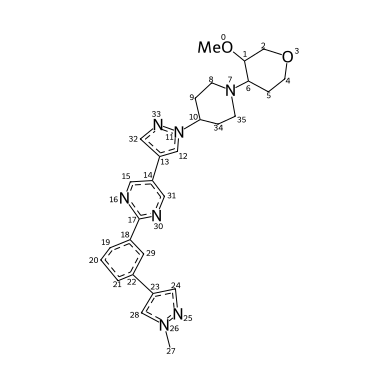 COC1COCCC1N1CCC(n2cc(-c3cnc(-c4cccc(-c5cnn(C)c5)c4)nc3)cn2)CC1